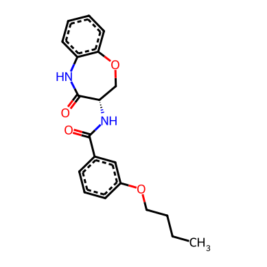 CCCCOc1cccc(C(=O)N[C@H]2COc3ccccc3NC2=O)c1